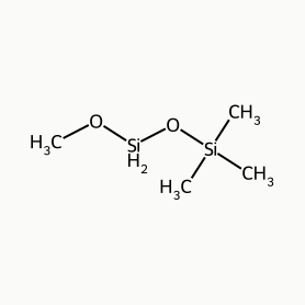 CO[SiH2]O[Si](C)(C)C